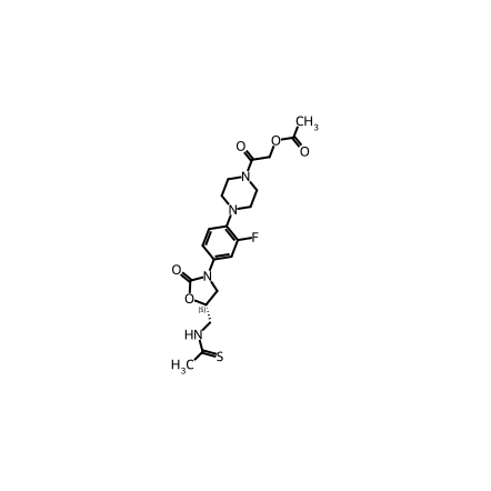 CC(=O)OCC(=O)N1CCN(c2ccc(N3C[C@H](CNC(C)=S)OC3=O)cc2F)CC1